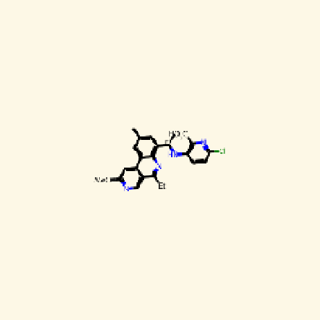 CCc1nc2c([C@@H](C)Nc3ccc(Cl)nc3C(=O)O)cc(C)cc2c2cc(OC)ncc12